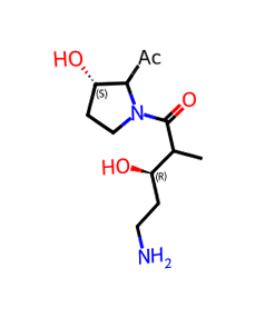 CC(=O)C1[C@@H](O)CCN1C(=O)C(C)[C@H](O)CCN